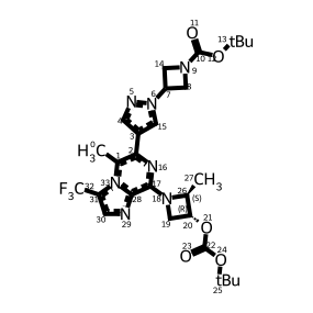 Cc1c(-c2cnn(C3CN(C(=O)OC(C)(C)C)C3)c2)nc(N2C[C@@H](OC(=O)OC(C)(C)C)[C@@H]2C)c2ncc(C(F)(F)F)n12